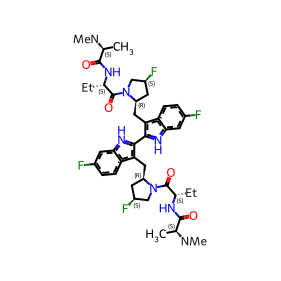 CC[C@H](NC(=O)[C@H](C)NC)C(=O)N1C[C@@H](F)C[C@H]1Cc1c(-c2[nH]c3cc(F)ccc3c2C[C@@H]2C[C@H](F)CN2C(=O)[C@H](CC)NC(=O)[C@H](C)NC)[nH]c2cc(F)ccc12